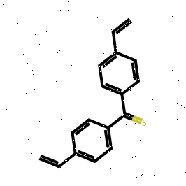 C=Cc1ccc(C(=S)c2ccc(C=C)cc2)cc1